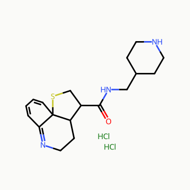 Cl.Cl.O=C(NCC1CCNCC1)C1CSC23C=CC=CC2=NCCC13